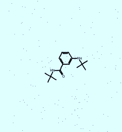 CC(C)(C)NC(=O)c1cccc(NC(C)(C)C)c1